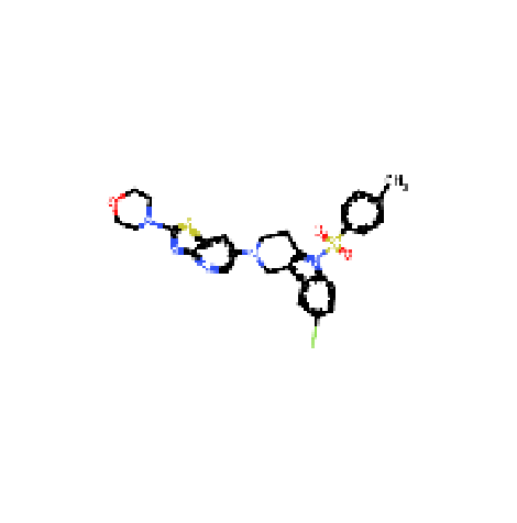 Cc1ccc(S(=O)(=O)n2c3c(c4cc(F)ccc42)CN(c2cnc4nc(N5CCOCC5)sc4c2)CC3)cc1